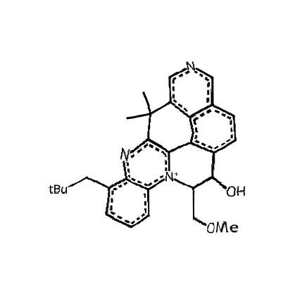 COCC1C(O)c2ccc3cncc4c3c2-c2c(nc3c(CC(C)(C)C)cccc3[n+]21)C4(C)C